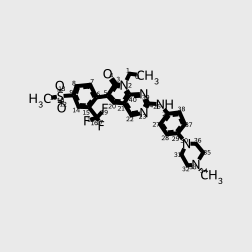 CCn1c(=O)c(-c2ccc(S(C)(=O)=O)cc2C(F)(F)F)cc2cnc(Nc3ccc(N4CCN(C)CC4)cc3)nc21